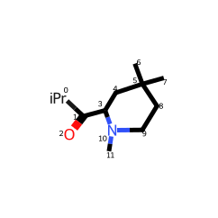 CC(C)C(=O)C1CC(C)(C)CCN1C